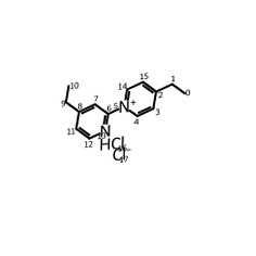 CCc1cc[n+](-c2cc(CC)ccn2)cc1.Cl.[Cl-]